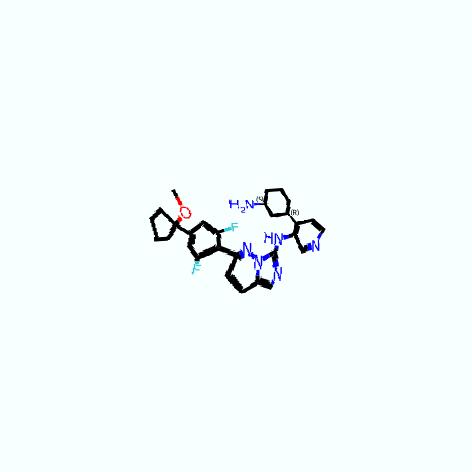 COC1(c2cc(F)c(-c3ccc4cnc(Nc5cnccc5[C@@H]5CCC[C@H](N)C5)n4n3)c(F)c2)CCCC1